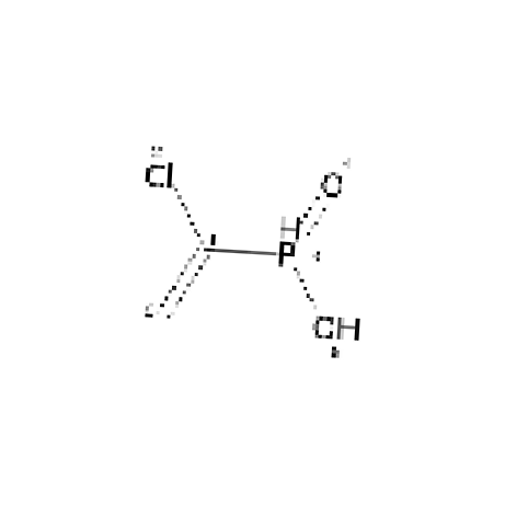 C=C(Cl)[PH](=O)O